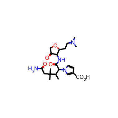 CC(C(C(=O)NC1C(=O)COC1CCN(C)C)n1ccc(C(=O)O)c1)C(C)(C)CC(N)=O